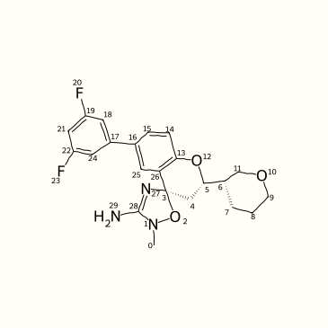 CN1O[C@@]2(C[C@@H]([C@H]3CCCOC3)Oc3ccc(-c4cc(F)cc(F)c4)cc32)N=C1N